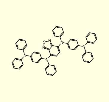 c1ccc(N(c2ccccc2)c2ccc(N(c3ccccc3)c3ccc(N(c4ccccc4)c4ccc(N(c5ccccc5)c5ccccc5)cc4)c4nsnc34)cc2)cc1